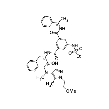 CCS(=O)(=O)Nc1cc(C(=O)N[C@@H](Cc2ccccc2)[C@H](O)CN(C)c2cnn(CCOC)c2C)cc(C(=O)N[C@H](C)c2ccccc2)c1